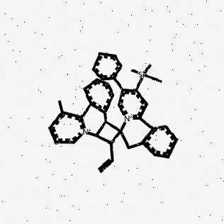 C=CC1C2C(c3ccccc3-c3c(C)ccc[n+]32)C12Cc1ccccc1-c1cc([Si](C)(C)C)c(-c3ccccc3)c[n+]12